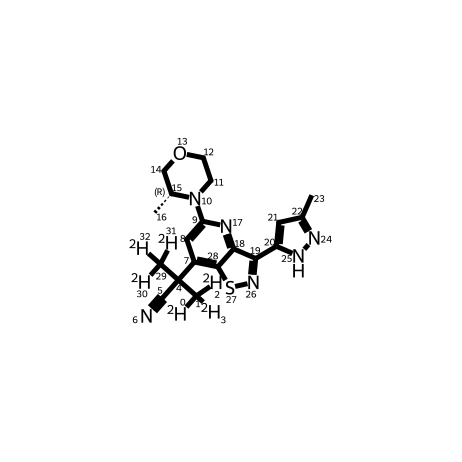 [2H]C([2H])([2H])C(C#N)(c1cc(N2CCOC[C@H]2C)nc2c(-c3cc(C)n[nH]3)nsc12)C([2H])([2H])[2H]